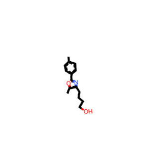 Cc1ccc(-c2nc(CCCCO)c(C)o2)cc1